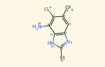 CCc1nc2cc(C(F)(F)F)c(Cl)c(N)c2[nH]1